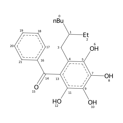 CCCCC(CC)Cc1c(O)c(O)c(O)c(O)c1C(=O)c1ccccc1